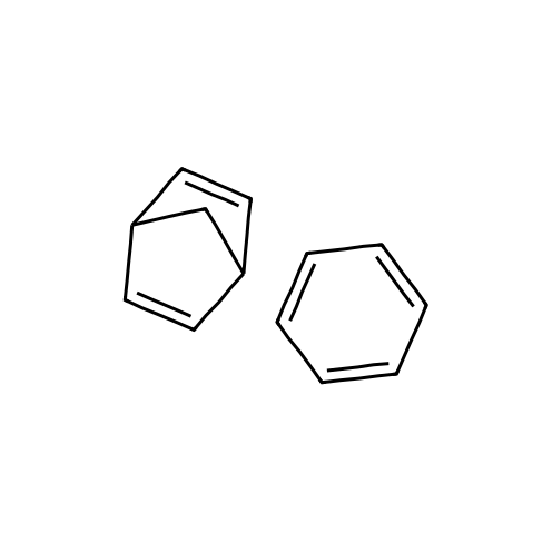 C1=CC2C=CC1C2.c1ccccc1